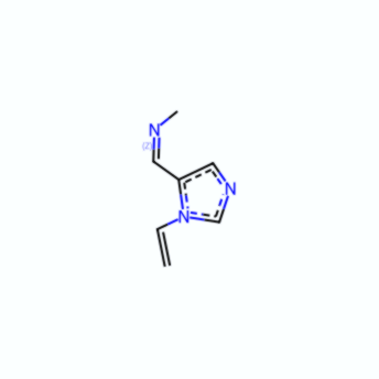 C=Cn1cncc1/C=N\C